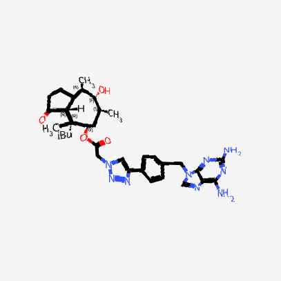 CCC(C)[C@]1(C)[C@@H]2C(=O)CCC2[C@@H](C)[C@H](O)[C@@H](C)C[C@H]1OC(=O)Cn1cc(-c2ccc(Cn3cnc4c(N)nc(N)nc43)cc2)nn1